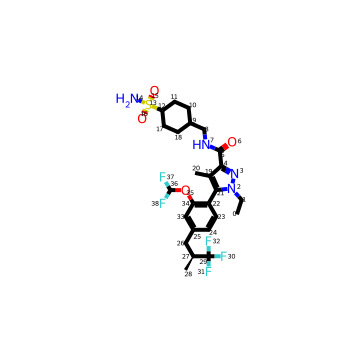 CCn1nc(C(=O)NCC2CCC(S(N)(=O)=O)CC2)c(C)c1-c1ccc(C[C@H](C)C(F)(F)F)cc1OC(F)F